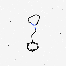 [CH]1CCCCN1CCc1ccccc1